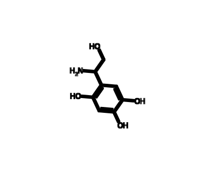 NC(CO)c1cc(O)c(O)cc1O